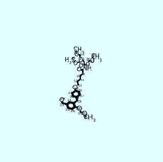 COCOCC(NC(=O)CCCCCOc1ccc(Cc2cc(C=O)ccc2OCOC)cc1)(OCOC)OCOC